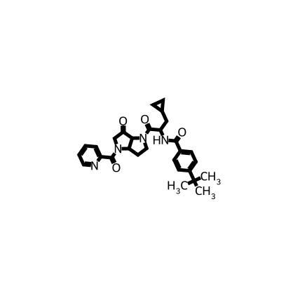 CC(C)(C)c1ccc(C(=O)NC(CC2CC2)C(=O)N2CCC3C2C(=O)CN3C(=O)c2ccccn2)cc1